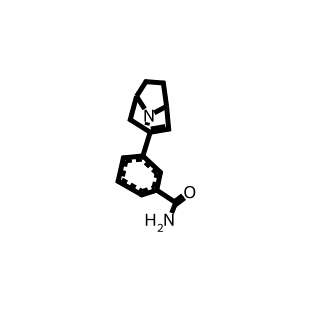 CN1C2C=C(c3cccc(C(N)=O)c3)CC1CC2